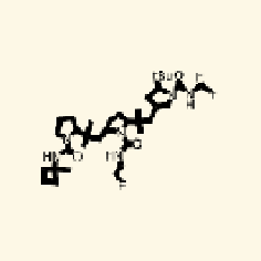 CC1(NC(=O)N2CCCC2C(C)(C)CC2CCC(C(C)(C)CC3CC(C(C)(C)C)N(C(=O)NC(F)F)C3)N2C(=O)NCCF)CCC1